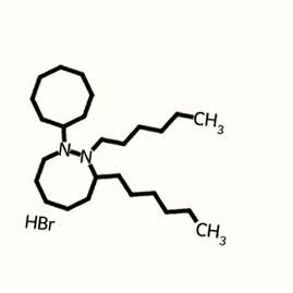 Br.CCCCCCC1CCCCCN(C2CCCCCCC2)N1CCCCCC